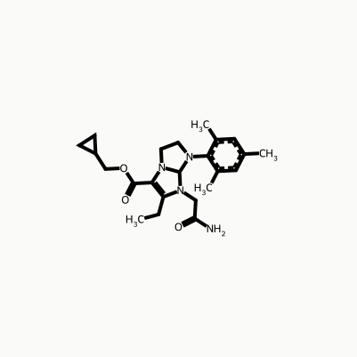 CCC1=C(C(=O)OCC2CC2)N2CCN(c3c(C)cc(C)cc3C)C2N1CC(N)=O